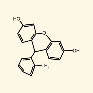 Cc1ccccc1C1c2ccc(O)cc2Oc2cc(O)ccc21